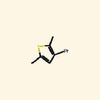 Cc1cc(C(C)C)c(C)s1